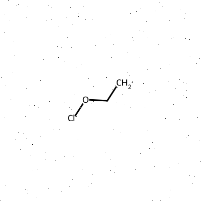 [CH2]COCl